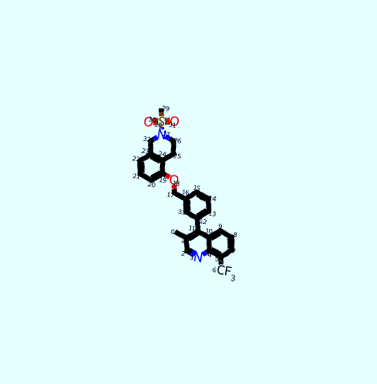 Cc1cnc2c(C(F)(F)F)cccc2c1-c1cccc(COc2cccc3c2CCN(S(C)(=O)=O)C3)c1